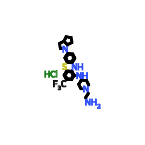 Cl.NCCN1CCC(Nc2cc(C(F)(F)F)cc3c2Nc2ccc(N4CCC5CCCC54)cc2S3)CC1